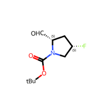 CC(C)(C)OC(=O)N1C[C@@H](F)C[C@H]1C=O